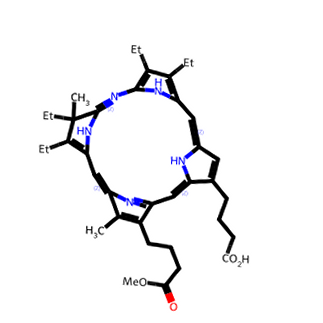 CCC1=C2/C=C3N=C(/C=c4\[nH]/c(cc4CCCC(=O)O)=C\c4[nH]c(c(CC)c4CC)/N=C(\N2)C1(C)CC)C(CCCC(=O)OC)=C\3C